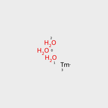 O.O.O.[Tm]